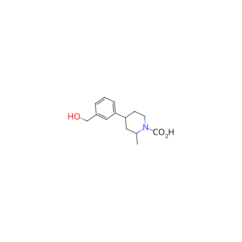 CC1CC(c2cccc(CO)c2)CCN1C(=O)O